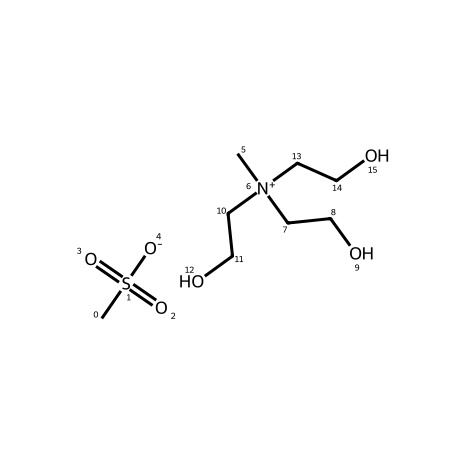 CS(=O)(=O)[O-].C[N+](CCO)(CCO)CCO